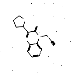 C#CCn1c(=O)c(C2CCCO2)nc2ccccc21